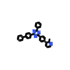 Cc1ncccc1-c1ccc(-c2nc(-c3ccccc3)nc(-c3ccc(-c4ccccc4)cc3)n2)cc1